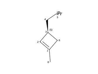 CC1=C[C@@H](CC(C)C)C1